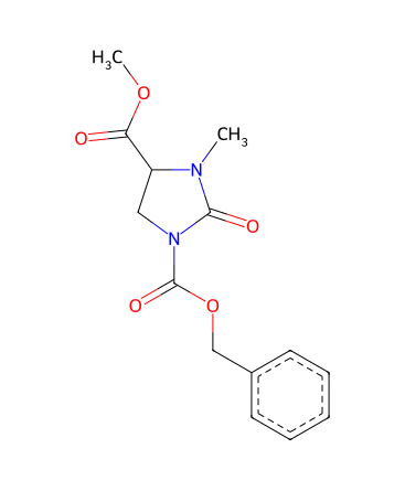 COC(=O)C1CN(C(=O)OCc2ccccc2)C(=O)N1C